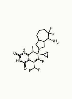 CC1c2[nH]c(=O)[nH]c(=O)c2C(C(F)F)=C(F)C1(C1CC1)N1CC2CCCC(F)(F)C(N)C2C1